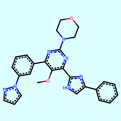 COc1c(-c2cccc(-n3cccn3)c2)nc(N2CCOCC2)nc1-c1nc(-c2ccccc2)c[nH]1